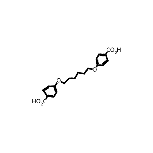 O=C(O)c1ccc(OCCCCCCOc2ccc(C(=O)O)cc2)cc1